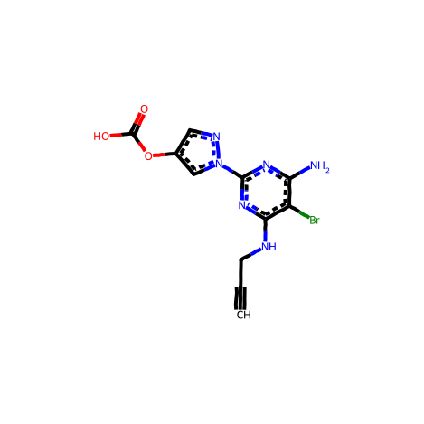 C#CCNc1nc(-n2cc(OC(=O)O)cn2)nc(N)c1Br